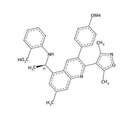 COc1ccc(-c2cc3c([C@@H](C)Nc4ccccc4C(=O)O)cc(C)cc3nc2-c2c(C)noc2C)cc1